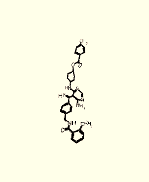 COc1ccccc1C(=O)NCc1ccc(C(=N)c2c(N)ncnc2NC2CCC(OC(=O)c3ccc(C)cc3)CC2)cc1